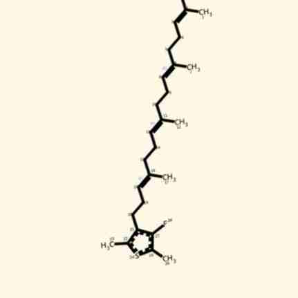 CC(C)=CCC/C(C)=C/CC/C(C)=C/CC/C(C)=C/CCc1c(C)sc(C)c1F